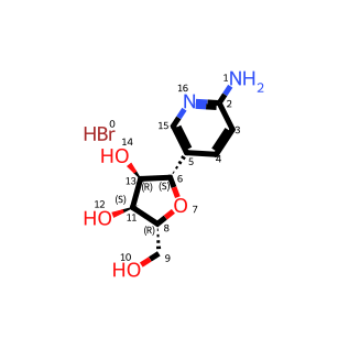 Br.Nc1ccc([C@@H]2O[C@H](CO)[C@@H](O)[C@H]2O)cn1